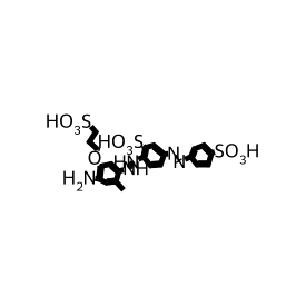 Cc1cc(N)c(OCCCS(=O)(=O)O)cc1NNc1ccc(N=Nc2ccc(S(=O)(=O)O)cc2)cc1S(=O)(=O)O